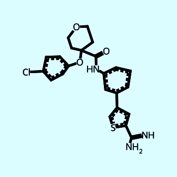 N=C(N)c1cc(-c2cccc(NC(=O)C3(Oc4ccc(Cl)cc4)CCOCC3)c2)cs1